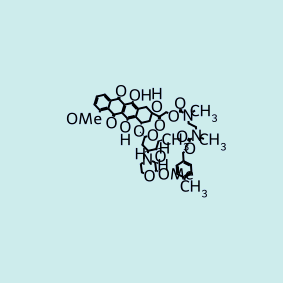 COc1cccc2c1C(=O)c1c(O)c3c(c(O)c1C2=O)C[C@@](O)(C(=O)COC(=O)N(C)CCN(C)C(=O)OCc1ccc(C)cc1)C[C@@H]3O[C@H]1C[C@H]2[C@H](O[C@@H]3[C@@H](OC)OCCN32)[C@H](C)O1